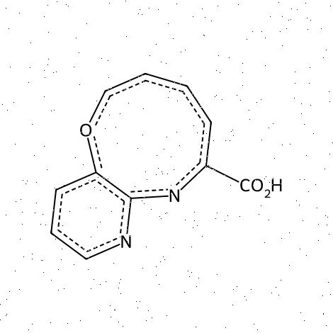 O=C(O)c1ccccoc2cccnc2n1